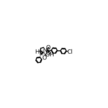 O=C(O)[C@]12[C@H](CCN1S(=O)(=O)c1ccc(-c3ccc(Cl)cc3)cc1)[C@H]2c1ccccc1